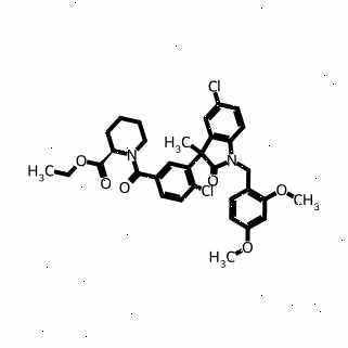 CCOC(=O)[C@H]1CCCCN1C(=O)c1ccc(Cl)c(C2(C)C(=O)N(Cc3ccc(OC)cc3OC)c3ccc(Cl)cc32)c1